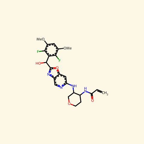 C=CC(=O)NC1CCOCC1Nc1cc2oc(C(O)c3c(F)c(OC)cc(OC)c3F)nc2cn1